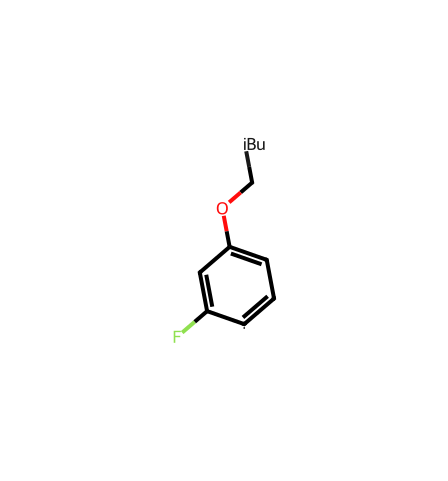 CCC(C)COc1cc[c]c(F)c1